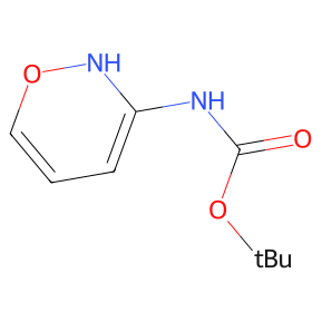 CC(C)(C)OC(=O)NC1=CC=CON1